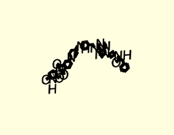 O=C1CC[C@H](N2C(=O)c3ccc(N4CCC(CN5CCC(CNc6ncnc7c6ncn7C6CC(NC(=O)Cc7ccccc7)C6)CC5)CC4)cc3C2=O)C(=O)N1